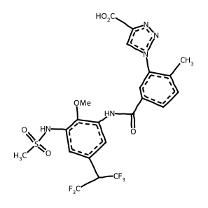 COc1c(NC(=O)c2ccc(C)c(-n3cc(C(=O)O)nn3)c2)cc(C(C(F)(F)F)C(F)(F)F)cc1NS(C)(=O)=O